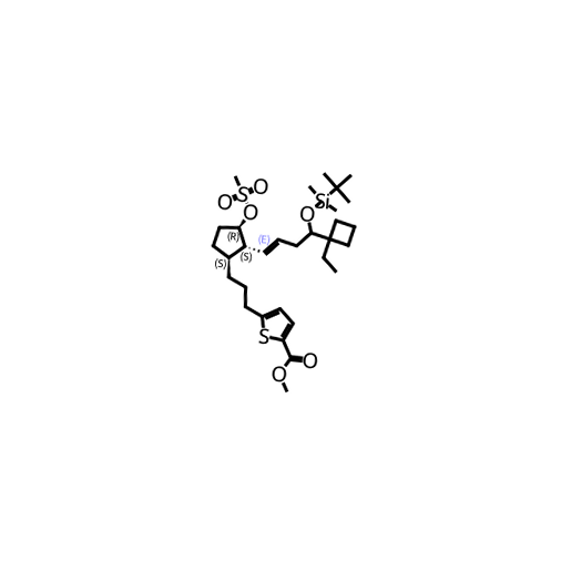 CCC1(C(C/C=C/[C@@H]2[C@@H](CCCc3ccc(C(=O)OC)s3)CC[C@H]2OS(C)(=O)=O)O[Si](C)(C)C(C)(C)C)CCC1